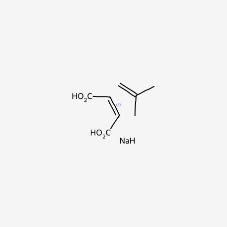 C=C(C)C.O=C(O)/C=C\C(=O)O.[NaH]